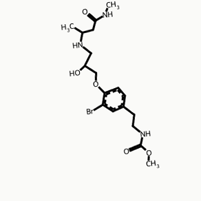 CNC(=O)CC(C)NCC(O)COc1ccc(CCNC(=O)OC)cc1Br